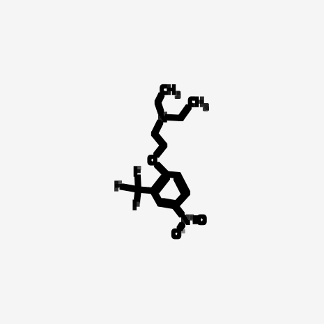 CCN(CC)CCOc1ccc([N+](=O)[O-])cc1C(F)(F)F